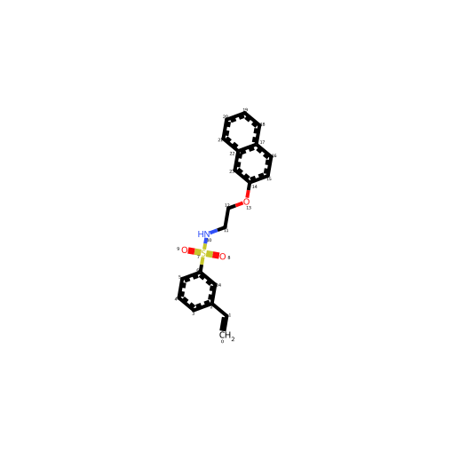 C=Cc1cccc(S(=O)(=O)NCCOc2ccc3ccccc3c2)c1